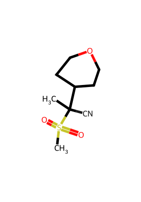 CC(C#N)(C1CCOCC1)S(C)(=O)=O